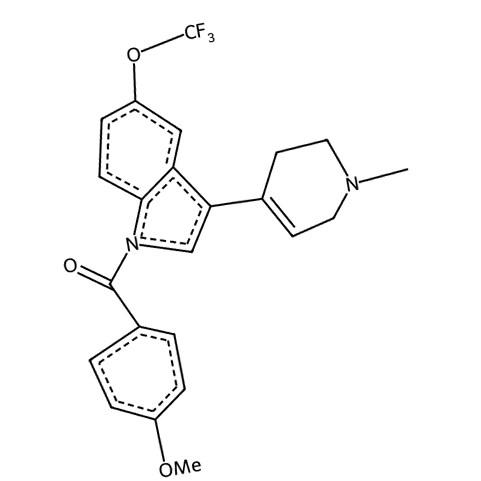 COc1ccc(C(=O)n2cc(C3=CCN(C)CC3)c3cc(OC(F)(F)F)ccc32)cc1